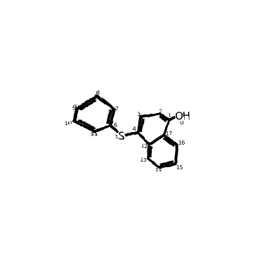 Oc1ccc(Sc2ccccc2)c2ccccc12